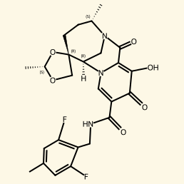 Cc1cc(F)c(CNC(=O)c2cn3c(c(O)c2=O)C(=O)N2C[C@@H]3[C@]3(CC[C@@H]2C)CO[C@H](C)O3)c(F)c1